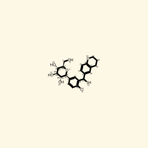 OC[C@H]1O[C@@H](c2ccc(Cl)c(C(S)c3ccc4c(c3)CCCO4)c2)[C@H](O)[C@@H](O)[C@@H]1O